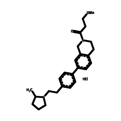 COCCC(=O)N1CCc2ccc(-c3ccc(CCN4CCCC4C)cc3)cc2C1.Cl